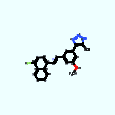 N#Cc1[nH]nnc1-c1cc(/C=C/c2ccc(F)c3ccccc23)cc(OC(F)(F)F)c1